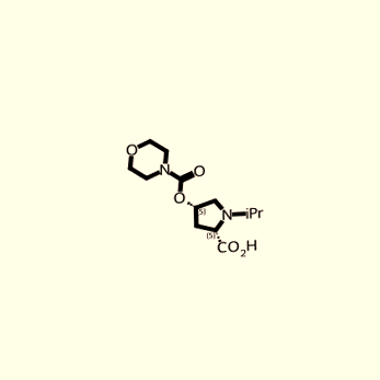 CC(C)N1C[C@@H](OC(=O)N2CCOCC2)C[C@H]1C(=O)O